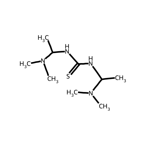 CC(NC(=S)NC(C)N(C)C)N(C)C